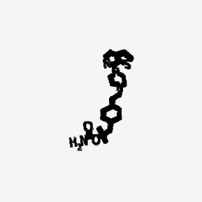 CC(C)(CC1CCC(CCN2CCN(c3nccc4ccsc34)CC2)CC1)OC(N)=O